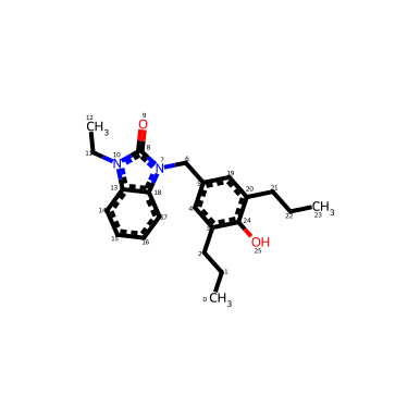 CCCc1cc(Cn2c(=O)n(CC)c3ccccc32)cc(CCC)c1O